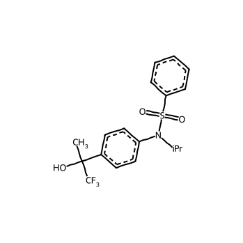 CC(C)N(c1ccc(C(C)(O)C(F)(F)F)cc1)S(=O)(=O)c1ccccc1